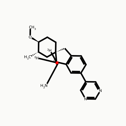 [2H]C1([2H])OC(N)=NC12c1cc(-c3cncnc3)ccc1C[C@]21CC[C@H](OC)[C@@H](C)C1